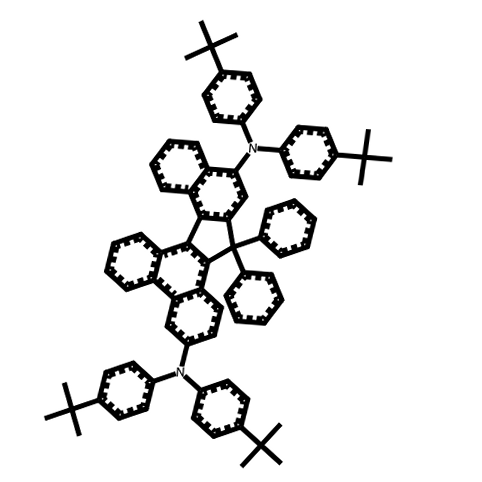 CC(C)(C)c1ccc(N(c2ccc(C(C)(C)C)cc2)c2ccc3c4c(c5ccccc5c3c2)-c2c(cc(N(c3ccc(C(C)(C)C)cc3)c3ccc(C(C)(C)C)cc3)c3ccccc23)C4(c2ccccc2)c2ccccc2)cc1